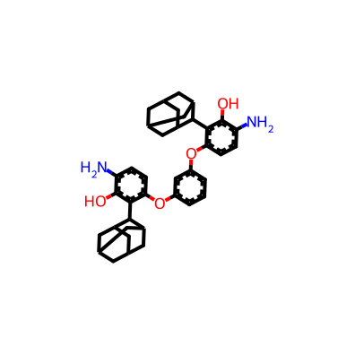 Nc1ccc(Oc2cccc(Oc3ccc(N)c(O)c3C3C4CC5CC(C4)CC3C5)c2)c(C2C3CC4CC(C3)CC2C4)c1O